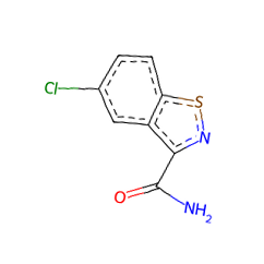 NC(=O)c1nsc2ccc(Cl)cc12